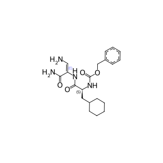 N/C=C(/NC(=O)[C@H](CC1CCCCC1)NC(=O)OCc1ccccc1)C(N)=O